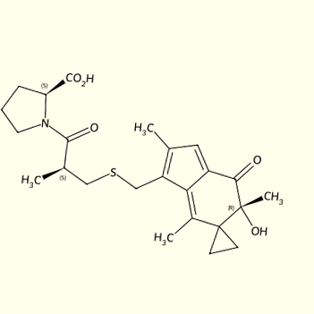 CC1=C(CSC[C@@H](C)C(=O)N2CCC[C@H]2C(=O)O)C2=C(C)C3(CC3)[C@@](C)(O)C(=O)C2=C1